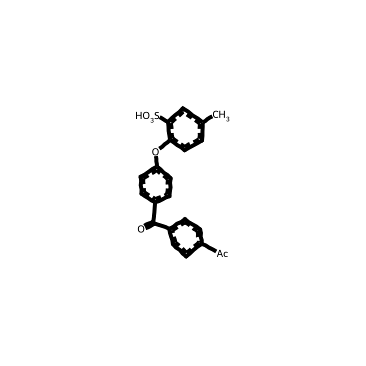 CC(=O)c1ccc(C(=O)c2ccc(Oc3ccc(C)cc3S(=O)(=O)O)cc2)cc1